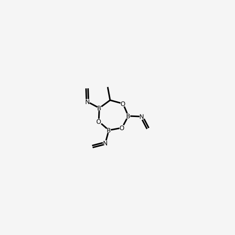 C=NB1OB(N=C)OC(C)B(N=C)O1